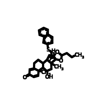 CCCC1O[C@@H]2CC3C4CCC5=CC(=O)C=CC5(C)C4[C@@H](O)CC3(C)[C@]2(C(=O)CSc2ccc3ccccc3c2)O1